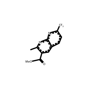 COC(=O)c1cc2ccc(C(F)(F)F)nc2nc1C